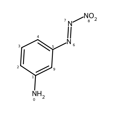 Nc1cccc(/N=N/[N+](=O)[O-])c1